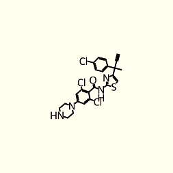 C#CC(C)(c1ccc(Cl)cc1)c1csc(NC(=O)c2c(Cl)cc(N3CCNCC3)cc2Cl)n1